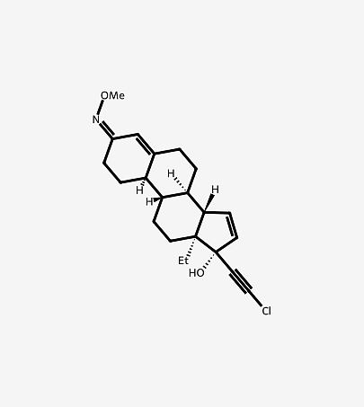 CC[C@]12CC[C@H]3[C@@H](CCC4=C/C(=N\OC)CC[C@@H]43)[C@@H]1C=C[C@@]2(O)C#CCl